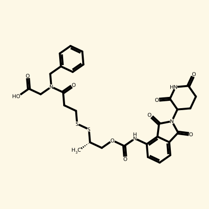 C[C@@H](COC(=O)Nc1cccc2c1C(=O)N(C1CCC(=O)NC1=O)C2=O)SSCCC(=O)N(CC(=O)O)Cc1ccccc1